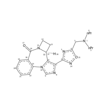 CCCN(CCC)Cc1nc(-c2ncn3c2[C@@H]2CCN2C(=O)c2ccccc2-3)no1